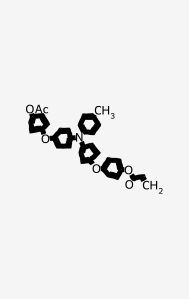 C=CC(=O)Oc1ccc(Oc2ccc(N(c3ccc(C)cc3)c3ccc(Oc4ccc(OC(C)=O)cc4)cc3)cc2)cc1